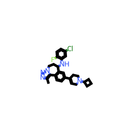 Cc1nnn2c1-c1ccc(C3=CCN(C4CCC4)CC3)cc1C(Nc1cc(Cl)ccc1F)CC2